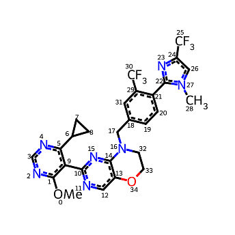 COc1ncnc(C2CC2)c1-c1ncc2c(n1)N(Cc1ccc(-c3nc(C(F)(F)F)cn3C)c(C(F)(F)F)c1)CCO2